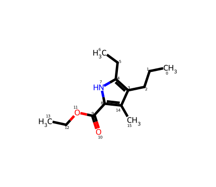 CCCc1c(CC)[nH]c(C(=O)OCC)c1C